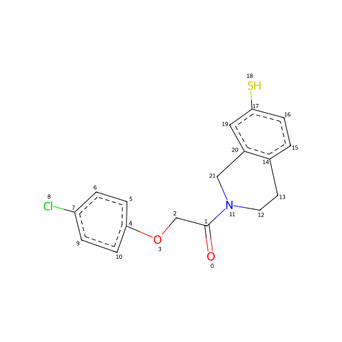 O=C(COc1ccc(Cl)cc1)N1CCc2ccc(S)cc2C1